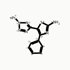 CCCn1nnc(-c2sc(N)nc2-c2ccccc2)n1